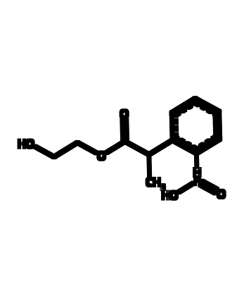 CC(C(=O)OCCO)c1ccccc1[PH](=O)O